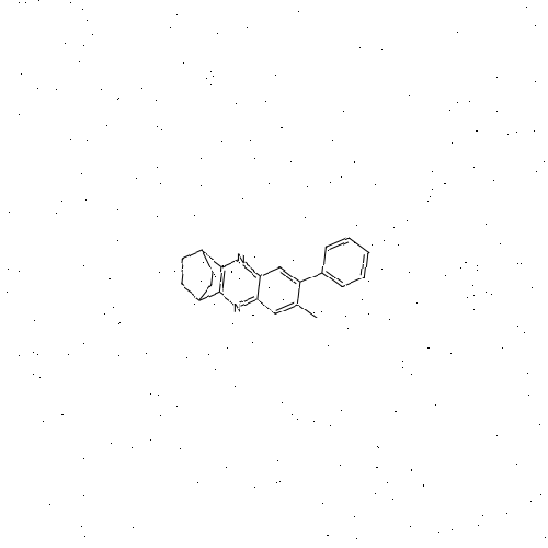 Cc1cc2nc3c(nc2cc1-c1ccccc1)C1CCC3CC1